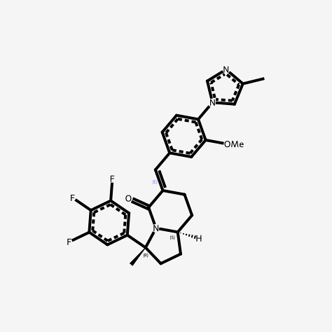 COc1cc(/C=C2\CC[C@H]3CC[C@](C)(c4cc(F)c(F)c(F)c4)N3C2=O)ccc1-n1cnc(C)c1